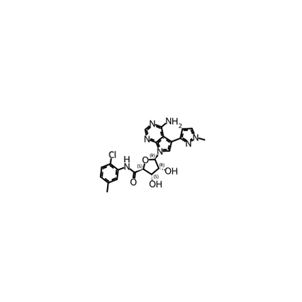 Cc1ccc(Cl)c(NC(=O)[C@H]2O[C@@H](n3cc(-c4ccn(C)n4)c4c(N)ncnc43)[C@H](O)[C@@H]2O)c1